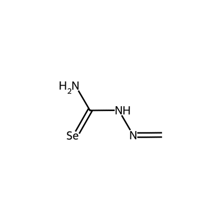 C=NNC(N)=[Se]